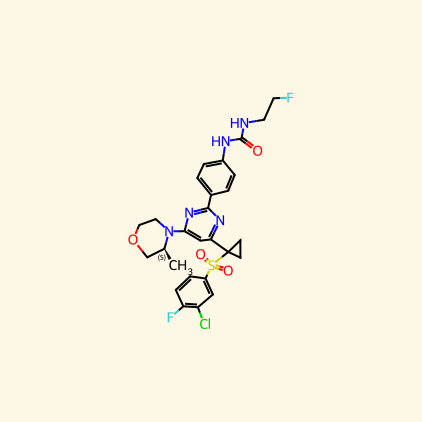 C[C@H]1COCCN1c1cc(C2(S(=O)(=O)c3ccc(F)c(Cl)c3)CC2)nc(-c2ccc(NC(=O)NCCF)cc2)n1